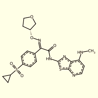 CNc1ccnc2sc(NC(=O)/C(=N/O[C@@H]3CCOC3)c3ccc(S(=O)(=O)C4CC4)cc3)nc12